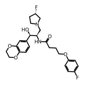 O=C(CCCOc1ccc(F)cc1)N[C@H](CN1CC[C@H](F)C1)[C@H](O)c1ccc2c(c1)OCCO2